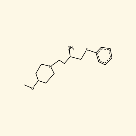 COC1CCN(CC[C@@H](N)CSc2ccccc2)CC1